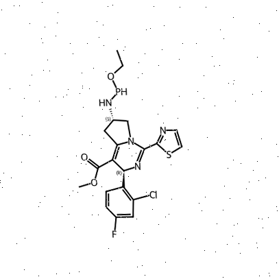 CCOPN[C@H]1CC2=C(C(=O)OC)[C@H](c3ccc(F)cc3Cl)N=C(c3nccs3)N2C1